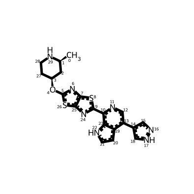 C[C@H]1C[C@@H](Oc2nc3sc(-c4ncc(-c5cn[nH]c5)c5cc[nH]c45)nc3s2)CCN1